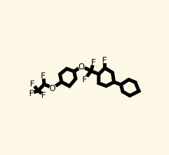 FC1CC(C2CCCCC2)CCC1C(F)(F)OC1CCC(OC(F)C(F)(F)F)CC1